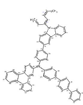 C=C/C(=C\C=C/C)n1c2ccccc2c2cc(-c3ccc(N(c4ccc(-c5ccc(-c6ccccc6)cc5)cc4)c4ccc5c6ccccc6c6ccccc6c5c4)cc3)ccc21